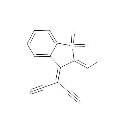 N#CC(C#N)=C1/C(=C/S)S(=O)(=O)c2ccccc21